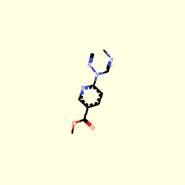 C=NN(/C=N\C)c1ccc(C(=O)OC)cn1